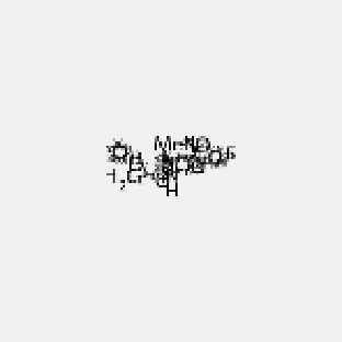 C=CC(CCS(=O)(=O)Nc1cc2oc(-c3ccc(F)cc3)c(C(=O)NC)c2cc1C1CC1)COCc1ccccc1